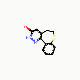 O=c1cc2c(n[nH]1)-c1ccccc1SCC2